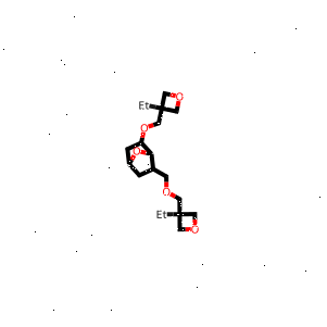 CCC1(COCC2CC3CC(OCC4(CC)COC4)C2O3)COC1